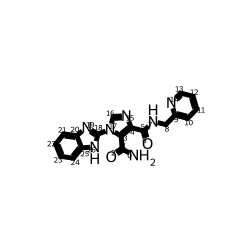 NC(=O)c1c(C(=O)NCc2ccccn2)ncn1-c1nc2ccccc2[nH]1